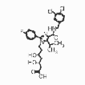 CC(C)c1c(C(=O)NCc2ccc(Cl)c(Cl)c2)nc(-c2ccc(F)cc2)n1CC[C@@H](O)C[C@@H](O)CC(=O)O